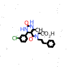 CC1=C(C(=O)N(CC=Cc2ccccc2)CC(=O)O)C(c2cccc(Cl)c2)NC(=O)N1